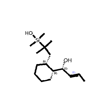 C/C=C/[C@@H](O)[C@@H]1CCCC[C@@H]1CC(C)(C)[Si](C)(C)O